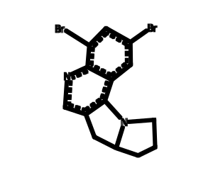 Brc1cc(Br)c2ncc3c(c2c1)N1CCCC1C3